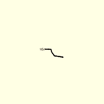 CCC[SeH]